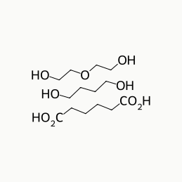 O=C(O)CCCCC(=O)O.OCCCCO.OCCOCCO